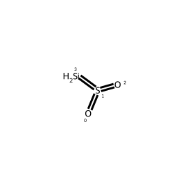 O=S(=O)=[SiH2]